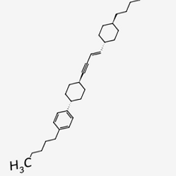 CCCCCc1ccc([C@H]2CC[C@H](C#C/C=C/[C@H]3CC[C@H](CCCCC)CC3)CC2)cc1